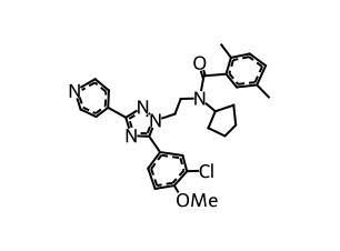 COc1ccc(-c2nc(-c3ccncc3)nn2CCN(C(=O)c2cc(C)ccc2C)C2CCCC2)cc1Cl